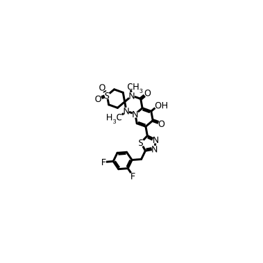 CN1C(=O)c2c(O)c(=O)c(-c3nnc(Cc4ccc(F)cc4F)s3)cn2N(C)C12CCS(=O)(=O)CC2